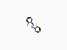 Cc1ccccc1C1=NC2C=CC=CC2S1